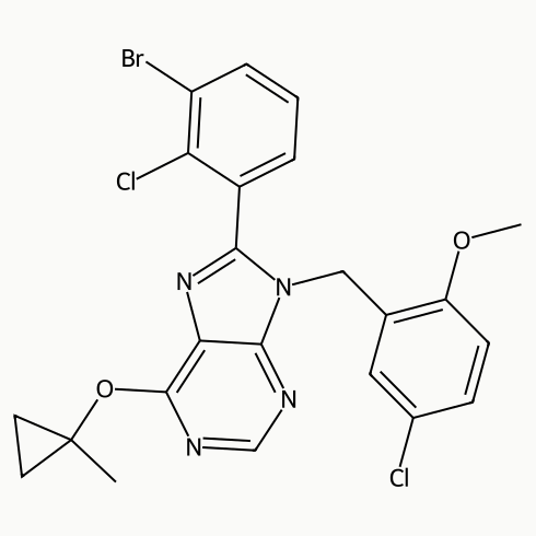 COc1ccc(Cl)cc1Cn1c(-c2cccc(Br)c2Cl)nc2c(OC3(C)CC3)ncnc21